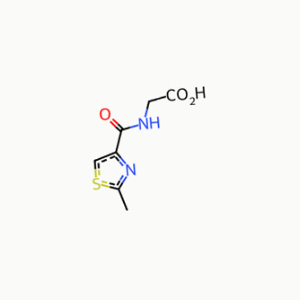 Cc1nc(C(=O)NCC(=O)O)cs1